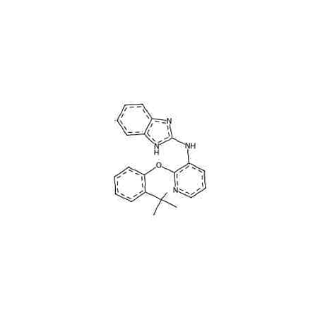 CC(C)(C)c1ccccc1Oc1ncccc1Nc1nc2cc[c]cc2[nH]1